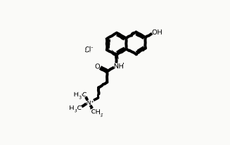 C[N+](C)(C)CCCC(=O)Nc1cccc2cc(O)ccc12.[Cl-]